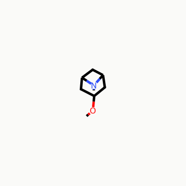 COC1CC2CC(C1)N2C